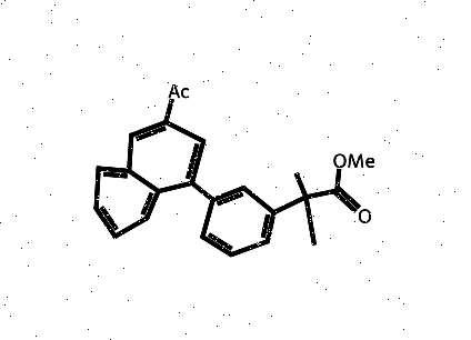 COC(=O)C(C)(C)c1cccc(-c2cc(C(C)=O)cc3ccccc23)c1